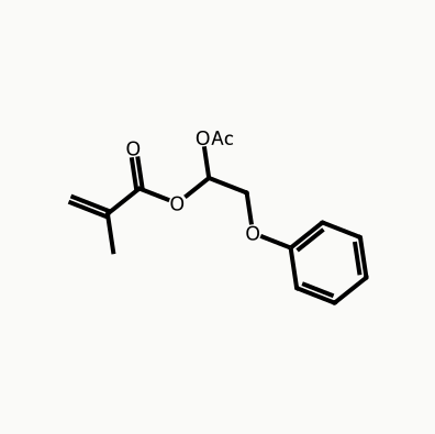 C=C(C)C(=O)OC(COc1ccccc1)OC(C)=O